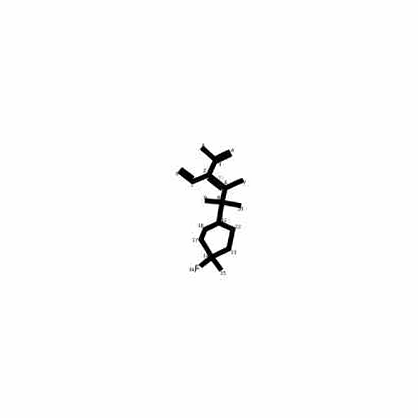 C=C/C(C(=C)C)=C(/C)C(C)(C)C1CCC(C)(F)CC1